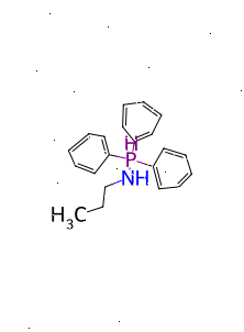 CCCN[PH](c1ccccc1)(c1ccccc1)c1ccccc1